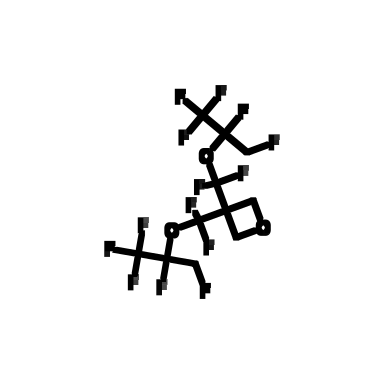 FCC(F)(OC(F)(F)C1(C(F)(F)OC(F)(CF)C(F)(F)F)COC1)C(F)(F)F